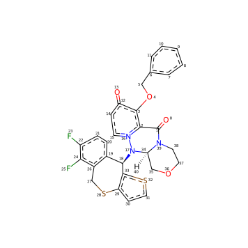 O=C1c2c(OCc3ccccc3)c(=O)ccn2N([C@@H]2c3ccc(F)c(F)c3CSc3ccsc32)[C@@H]2COCCN12